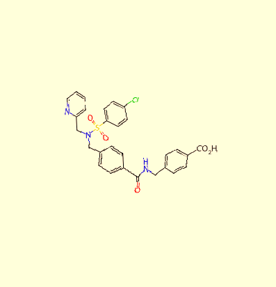 O=C(O)c1ccc(CNC(=O)c2ccc(CN(Cc3ccccn3)S(=O)(=O)c3ccc(Cl)cc3)cc2)cc1